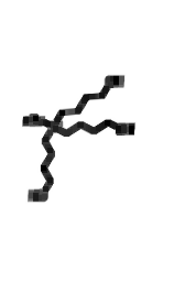 CCCC[N+](CCCCO)(CCCCO)CCCCO